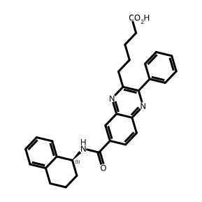 O=C(O)CCCCc1nc2cc(C(=O)N[C@H]3CCCc4ccccc43)ccc2nc1-c1ccccc1